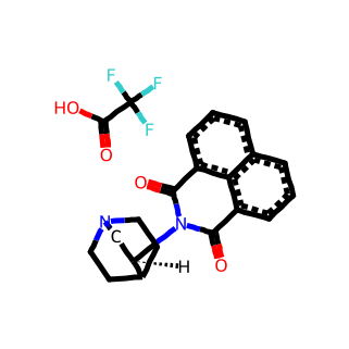 O=C(O)C(F)(F)F.O=C1c2cccc3cccc(c23)C(=O)N1[C@@H]1CN2CCC1CC2